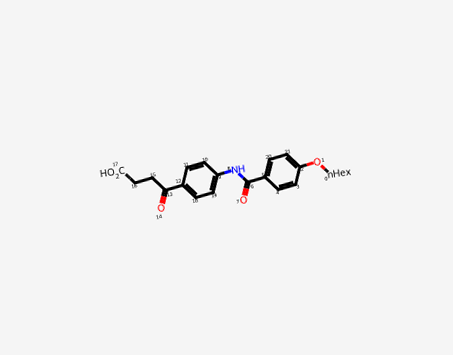 CCCCCCOc1ccc(C(=O)Nc2ccc(C(=O)CCC(=O)O)cc2)cc1